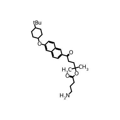 CC(C)(CCC(=O)c1ccc2cc(OC3CCC(C(C)(C)C)CC3)ccc2c1)OC(=O)CCCN